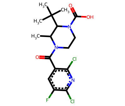 CC1C(C(C)(C)C)N(C(=O)O)CCN1C(=O)c1cc(F)c(Cl)nc1Cl